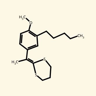 CCCCCc1cc(C(C)=C2SCCCS2)ccc1OC